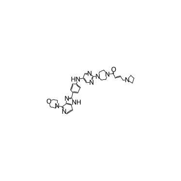 O=C(/C=C/CN1CCC1)N1CCN(c2ncc(Nc3ccc(-c4nc5c(N6CCOCC6)nccc5[nH]4)cc3)cn2)CC1